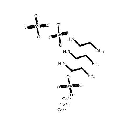 NCCN.NCCN.NCCN.[Co+2].[Co+2].[Co+2].[O]=[W](=[O])([O-])[O-].[O]=[W](=[O])([O-])[O-].[O]=[W](=[O])([O-])[O-]